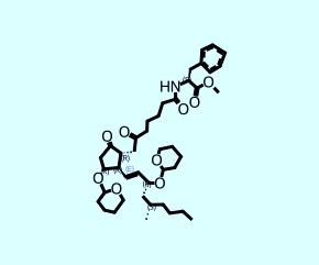 CCCC[C@H](C)C[C@H](/C=C/[C@H]1[C@H](OC2CCCCO2)CC(=O)[C@@H]1CC(=O)CCCCC(=O)N[C@@H](Cc1ccccc1)C(=O)OC)OC1CCCCO1